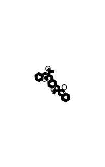 CC(=O)C(Cc1ccccc1)(Cc1cccc(CC(Cc2ccccc2)(C(C)=O)C(C)=O)c1)C(C)=O